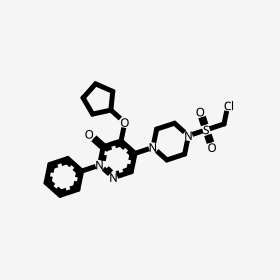 O=c1c(OC2CCCC2)c(N2CCN(S(=O)(=O)CCl)CC2)cnn1-c1ccccc1